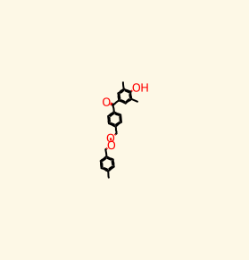 Cc1ccc(COOCc2ccc(C(=O)c3cc(C)c(O)c(C)c3)cc2)cc1